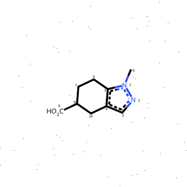 Cn1ncc2c1CCC(C(=O)O)C2